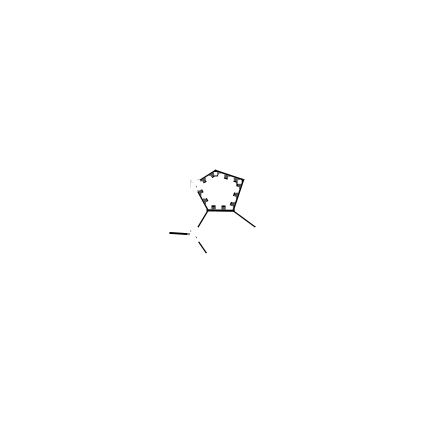 Cc1cc[nH]c1N(C)C